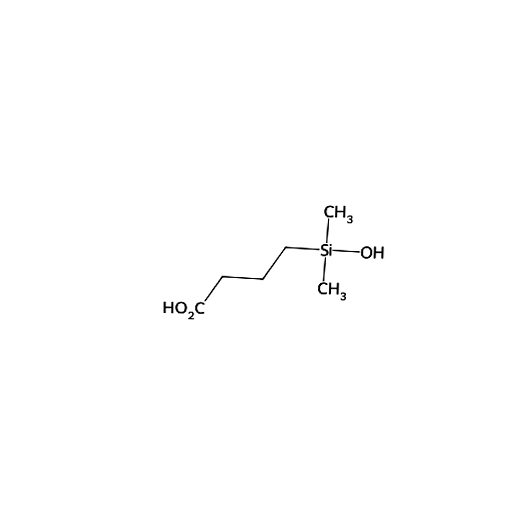 C[Si](C)(O)CCCC(=O)O